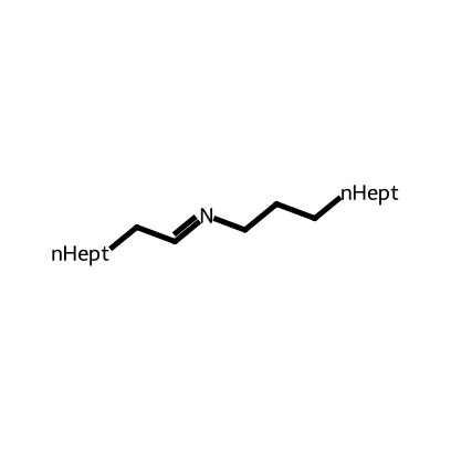 CCCCCCCCC=NCCCCCCCCCC